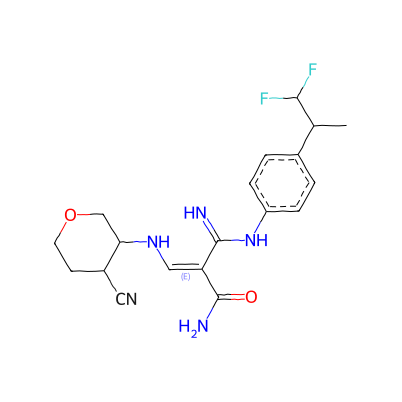 CC(c1ccc(NC(=N)/C(=C\NC2COCCC2C#N)C(N)=O)cc1)C(F)F